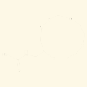 S=C(S)NCC1COCCOCCOCCO1